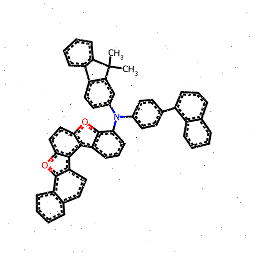 CC1(C)c2ccccc2-c2ccc(N(c3ccc(-c4cccc5ccccc45)cc3)c3cccc4c3oc3ccc5oc6c7ccccc7ccc6c5c34)cc21